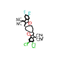 N#CC(C#N)=C1/C(=C/C2CCCC(/C=C3\C(=O)c4cc(Cl)c(Cl)cc4C3=C(C#N)C#N)CCC2)C(=O)c2cc(F)c(F)cc21